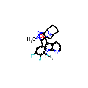 Cn1nc2c(c1-c1cc(F)c(F)c(F)c1)CC1CCCC2N1C(=O)c1cn(C)c2ncccc12